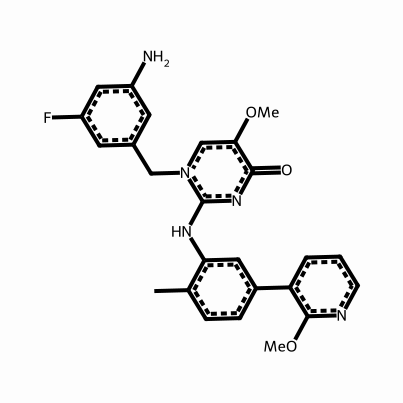 COc1ncccc1-c1ccc(C)c(Nc2nc(=O)c(OC)cn2Cc2cc(N)cc(F)c2)c1